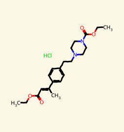 CCOC(=O)/C=C(\C)c1ccc(CCN2CCN(C(=O)OCC)CC2)cc1.Cl